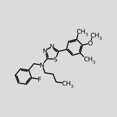 CCCCN(Cc1ccccc1F)c1nnc(-c2cc(C)c(OC)c(C)c2)s1